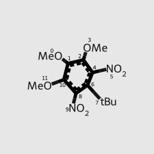 COc1c(OC)c([N+](=O)[O-])c(C(C)(C)C)c([N+](=O)[O-])c1OC